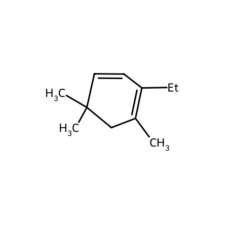 CCC1=C(C)CC(C)(C)C=C1